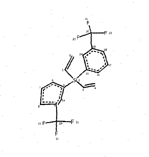 C=C[Si](C=C)(c1cccc(C(F)(F)F)c1)c1cccc(C(F)(F)F)c1